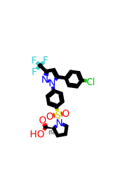 O=C(O)[C@@H]1CCCN1S(=O)(=O)c1ccc(-n2nc(C(F)(F)F)cc2-c2ccc(Cl)cc2)cc1